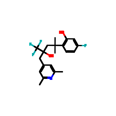 Cc1cc(CC(O)(CC(C)(C)c2ccc(F)cc2O)C(F)(F)F)cc(C)n1